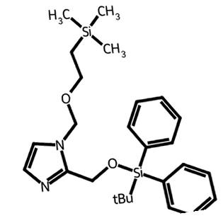 CC(C)(C)[Si](OCc1nccn1COCC[Si](C)(C)C)(c1ccccc1)c1ccccc1